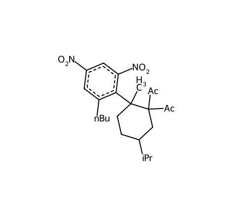 CCCCc1cc([N+](=O)[O-])cc([N+](=O)[O-])c1C1(C)CCC(C(C)C)CC1(C(C)=O)C(C)=O